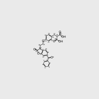 O=C(c1ccccc1)c1ccc2c(c1)oc(=O)n2CCOc1ccc(CC(C(=O)O)C(=O)O)cc1